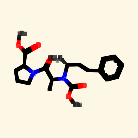 C[C@@H](C(=O)N1CCC[C@H]1C(=O)OC(C)(C)C)N(C(=O)OC(C)(C)C)[C@@H](CCc1ccccc1)C(=O)O